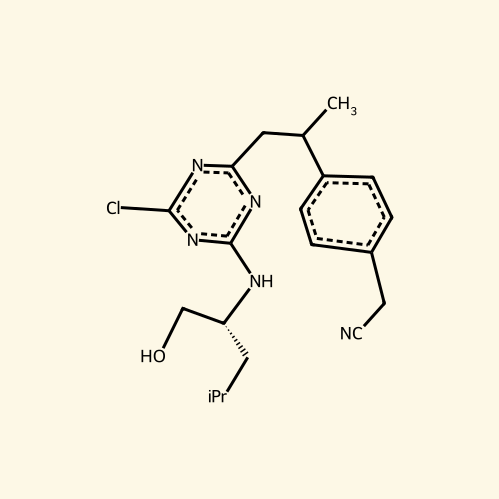 CC(C)C[C@H](CO)Nc1nc(Cl)nc(CC(C)c2ccc(CC#N)cc2)n1